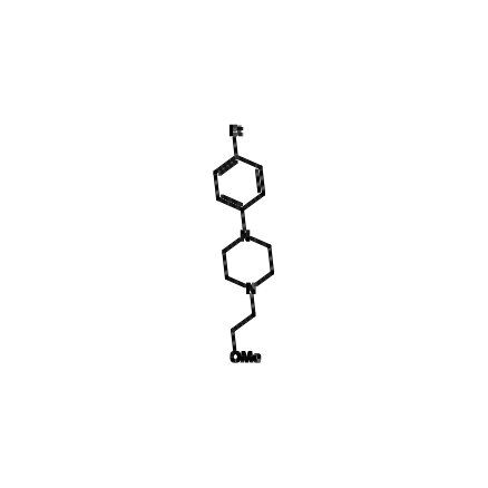 CCc1ccc(N2CCN(CCOC)CC2)cc1